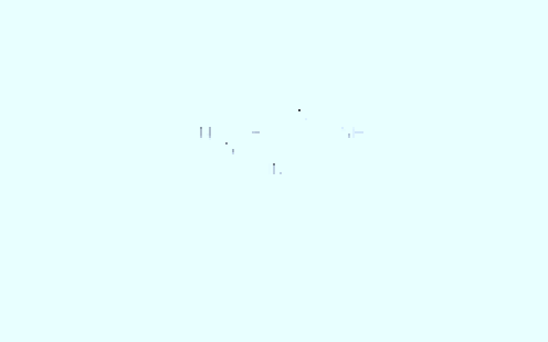 CCn1nccc1-c1ccccc1NCC1=NCCN1